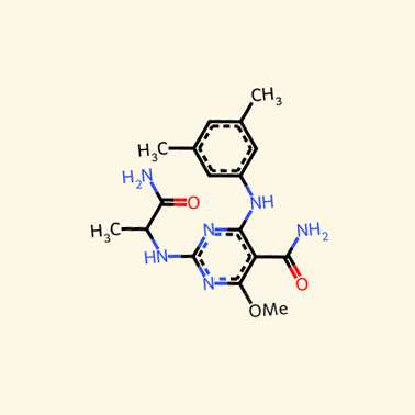 COc1nc(NC(C)C(N)=O)nc(Nc2cc(C)cc(C)c2)c1C(N)=O